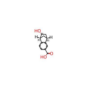 O=C(O)c1ccc2c(c1)[C@H]1C[C@@H](O)[C@@H]2C1